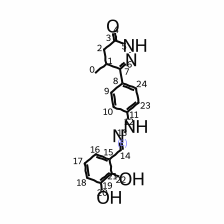 CC1CC(=O)NN=C1c1ccc(N/N=C/c2cccc(O)c2O)cc1